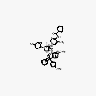 COc1ccc(C(OC[C@@]23CN(c4ncc(Cl)cn4)[C@@H]([C@H](N4C=C(C)C(NC(=O)c5ccccc5)=NC4)O2)[C@@H]3OP(OCCC#N)N(C(C)C)C(C)C)(c2ccccc2)c2ccc(OC)cc2)cc1